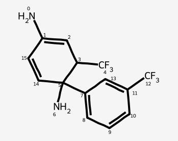 NC1=CC(C(F)(F)F)C(N)(c2cccc(C(F)(F)F)c2)C=C1